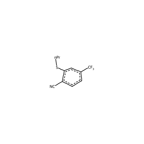 CCCSc1cc(C(F)(F)F)ccc1C#N